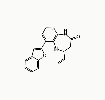 C=C[C@@H]1CC(=O)Nc2cccc(-c3cc4ccccc4o3)c2N1